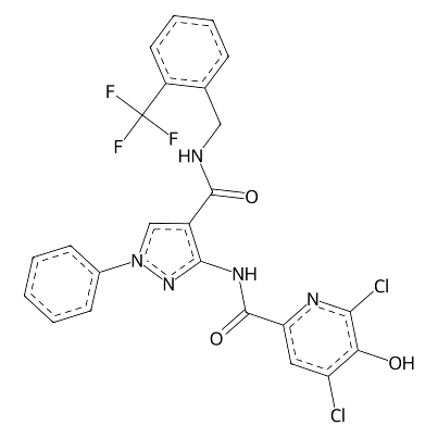 O=C(Nc1nn(-c2ccccc2)cc1C(=O)NCc1ccccc1C(F)(F)F)c1cc(Cl)c(O)c(Cl)n1